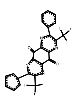 O=C1c2nc(-c3ccccc3)c(C(F)(F)F)nc2C(=O)c2nc(C(F)(F)F)c(-c3ccccc3)nc21